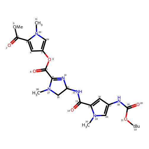 COC(=O)c1cc(OC(=O)C2=NC(NC(=O)c3cc(NC(=O)OC(C)(C)C)cn3C)CN2C)cn1C